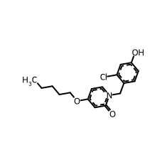 CCCCCOc1ccn(Cc2ccc(O)cc2Cl)c(=O)c1